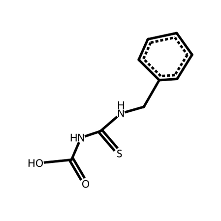 O=C(O)NC(=S)NCc1ccccc1